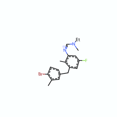 CCN(C)/C=N\c1cc(F)cc(Cc2ccc(Br)c(C)c2)c1C